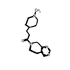 CN1CCC(CCC(=O)N2CCc3cncnc3C2)CC1